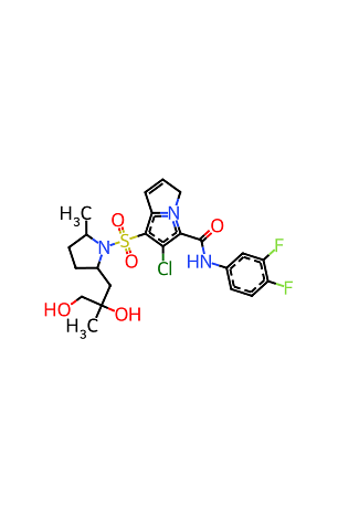 CC1CCC(CC(C)(O)CO)N1S(=O)(=O)c1c(Cl)c(C(=O)Nc2ccc(F)c(F)c2)n2c1C=CC2